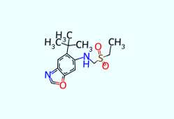 CCS(=O)(=O)CNc1cc2ocnc2cc1C(C)(C)C